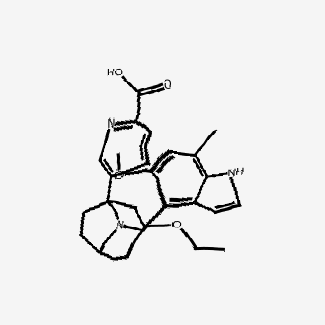 CCOC1CC2CCC(c3ccc(C(=O)O)nc3)(C1)N2Cc1c(OC)cc(C)c2[nH]ccc12